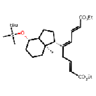 CCOC(=O)C=C/C=C(/C/C=C/C(=O)OCC)[C@H]1CCC2[C@@H](O[Si](C)(C)C(C)(C)C)CCC[C@@]21C